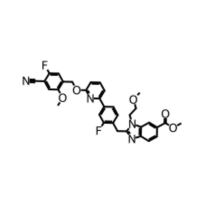 COCCn1c(Cc2ccc(-c3cccc(OCc4cc(F)c(C#N)cc4OC)n3)cc2F)nc2ccc(C(=O)OC)cc21